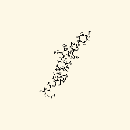 CC(C)C1=C2[C@H]3CC[C@@H]4[C@@]5(C)CC[C@H](OC(=O)CC(C)(C)C(=O)O)C(C)(C)[C@@H]5CC[C@@]4(C)[C@]3(C)CC[C@@]2([C@@H](O)c2nnc(-c3ccc(F)cc3)o2)CC1=O